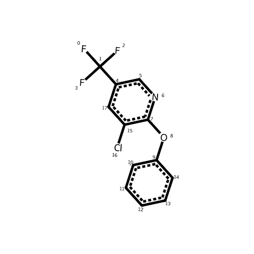 FC(F)(F)c1cnc(Oc2[c]cccc2)c(Cl)c1